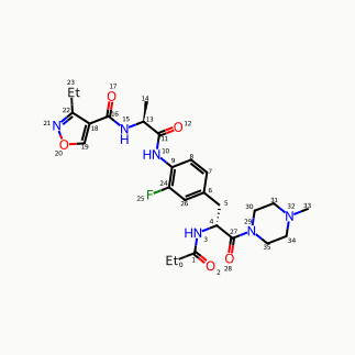 CCC(=O)N[C@H](Cc1ccc(NC(=O)[C@H](C)NC(=O)c2conc2CC)c(F)c1)C(=O)N1CCN(C)CC1